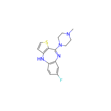 CN1CCN(C2=Nc3cc(F)ccc3Nc3ccsc32)CC1